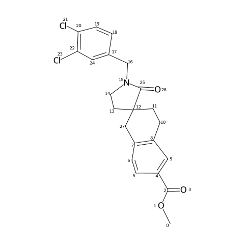 COC(=O)c1ccc2c(c1)CCC1(CCN(Cc3ccc(Cl)c(Cl)c3)C1=O)C2